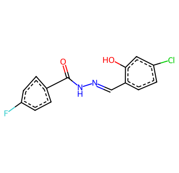 O=C(N/N=C/c1ccc(Cl)cc1O)c1ccc(F)cc1